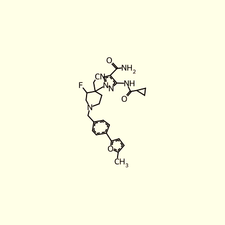 Cc1ccc(-c2ccc(CN3CCC(CC#N)(n4cc(C(N)=O)c(NC(=O)C5CC5)n4)C(F)C3)cc2)o1